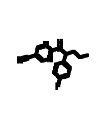 CCCC(Nc1ncc(C#N)cn1)c1ccc(F)cc1